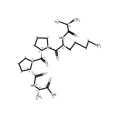 C[C@H](N)C(=O)N[C@@H](CCCCN)C(=O)N1CCC[C@H]1C(=O)N1CCC[C@H]1C(=O)N[C@@H](C)C(=O)O